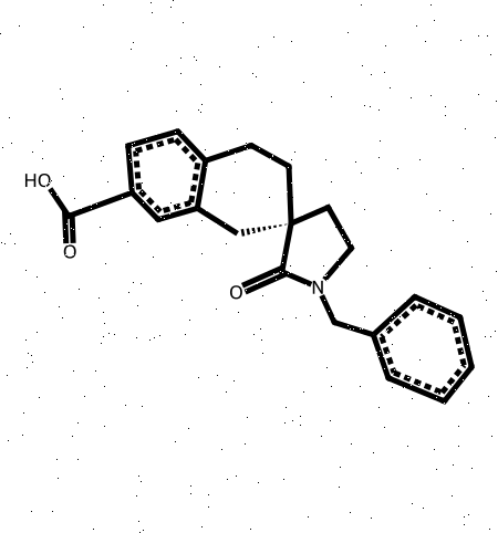 O=C(O)c1ccc2c(c1)C[C@]1(CC2)CCN(Cc2ccccc2)C1=O